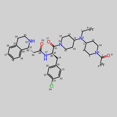 CC(C)CN(C1CCN(C(=O)C(C)C)CC1)C1CCN(C(=O)[C@@H](Cc2ccc(Cl)cc2)NC(=O)C[C@H]2NCCc3ccccc32)CC1